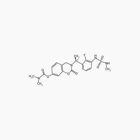 CNS(=O)(=O)Nc1cccc([C@H](C)N2Cc3ccc(OC(=O)N(C)C)cc3OC2=O)c1F